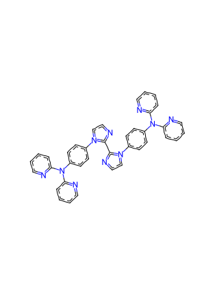 c1ccc(N(c2ccc(-n3ccnc3-c3nccn3-c3ccc(N(c4ccccn4)c4ccccn4)cc3)cc2)c2ccccn2)nc1